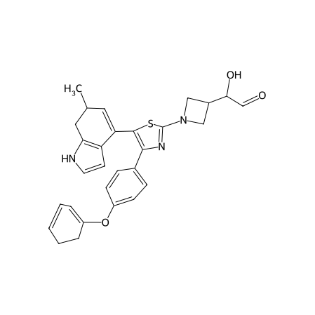 CC1C=C(c2sc(N3CC(C(O)C=O)C3)nc2-c2ccc(OC3=CC=CCC3)cc2)c2cc[nH]c2C1